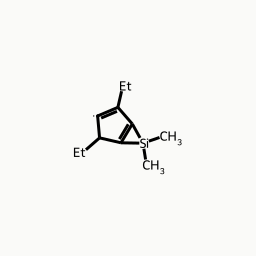 CCC1=[C]C(CC)C2=C1[Si]2(C)C